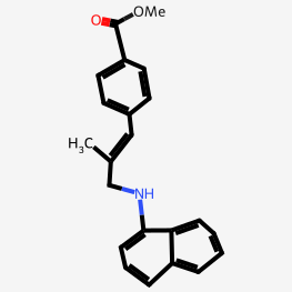 COC(=O)c1ccc(C=C(C)CNc2cccc3ccccc23)cc1